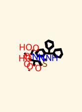 COC(=O)C(NC(OC)C(=O)O)(C(=O)O)c1csc(NC(c2ccccc2)(c2ccccc2)c2ccccc2)n1